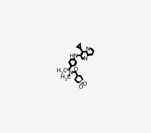 C[C@H](c1ccc(Nc2cnc3cccnc3c2C2CC2)cc1)N(C)C(=O)C1CCS(=O)(=O)CC1